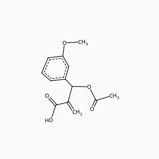 C=C(C(=O)O)C(OC(C)=O)c1cccc(OC)c1